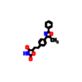 Cc1oc(-c2ccccc2)nc1-c1ccc(CCC2OC(=O)NC2=O)cc1